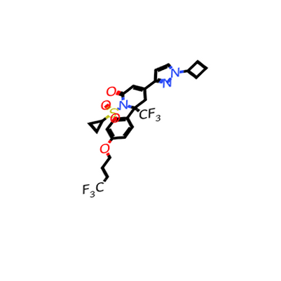 O=C1C=C(c2ccn(C3CCC3)n2)CC(c2ccc(OCCCC(F)(F)F)cc2)(C(F)(F)F)N1S(=O)(=O)C1CC1